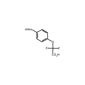 CCCCCCc1ccc(OC(F)(F)C(=O)O)cc1